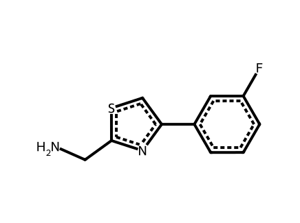 NCc1nc(-c2cccc(F)c2)cs1